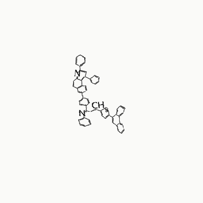 C/C(=C\C(=N/c1ccccc1)c1ccc(-c2ccc3c(ccc4nc(C5=CCCC=C5)cc(-c5ccccc5)c43)c2)cc1)c1ccc(-c2cc3ccccc3c3ccccc23)cc1